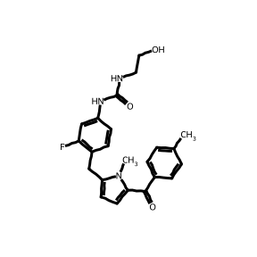 Cc1ccc(C(=O)c2ccc(Cc3ccc(NC(=O)NCCO)cc3F)n2C)cc1